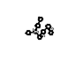 c1ccc(-c2ccc(-c3nc(-c4ccccc4)nc(-c4cccc5oc6cc(-c7cccc8oc9ccccc9c78)ccc6c45)n3)cc2)cc1